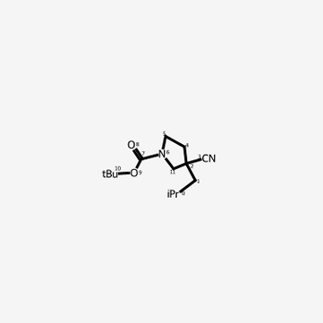 CC(C)CC1(C#N)CCN(C(=O)OC(C)(C)C)C1